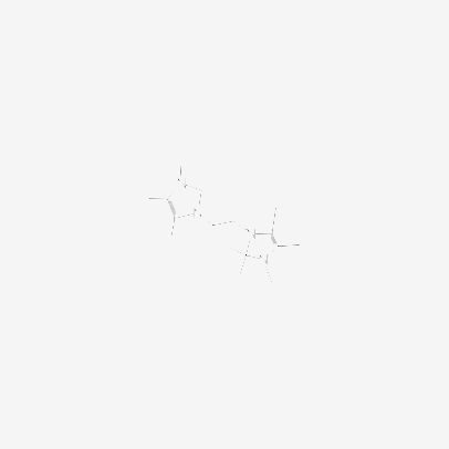 CC1=C(C)N(CCN2C(C)=C(C)N(C)C2(C)C)CN1C